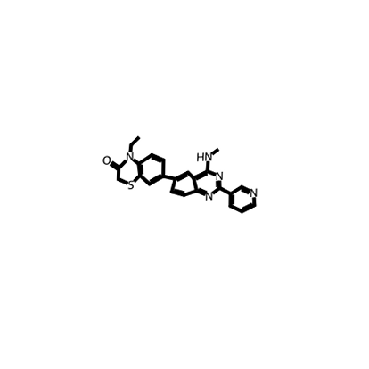 CCN1C(=O)CSc2cc(-c3ccc4nc(-c5cccnc5)nc(NC)c4c3)ccc21